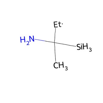 C[CH]C(C)(N)[SiH3]